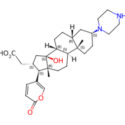 C[C@]12CC[C@H](N3CCNCC3)C[C@H]1CC[C@@H]1[C@@H]2CC[C@]2(C)[C@@H](c3ccc(=O)oc3)[C@H](CC(=O)O)C[C@]12O